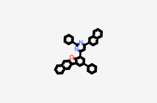 c1ccc(-c2cc(-c3cc(-c4ccc5ccccc5c4)nc(-c4ccccc4)n3)c3oc4cc5ccccc5cc4c3c2)cc1